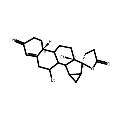 CCC1CC2=CC(=N)CC[C@@H]2C2CC[C@@]3(CC)C(C4CC4[C@@]34CCC(=O)O4)C12